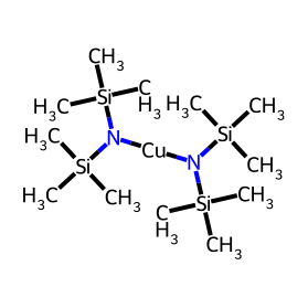 C[Si](C)(C)[N]([Cu][N]([Si](C)(C)C)[Si](C)(C)C)[Si](C)(C)C